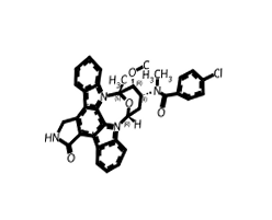 CO[C@@H]1[C@H](N(C)C(=O)c2ccc(Cl)cc2)C[C@H]2O[C@]1(C)n1c3ccccc3c3c4c(c5c6ccccc6n2c5c31)C(=O)NC4